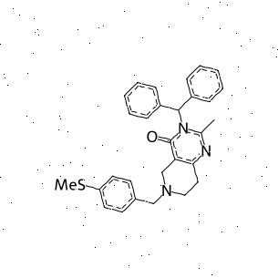 CSc1ccc(CN2CCc3nc(C)n(C(c4ccccc4)c4ccccc4)c(=O)c3C2)cc1